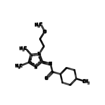 COCCn1c(C)c(C)sc1=NC(=O)C1CCC(C)CC1